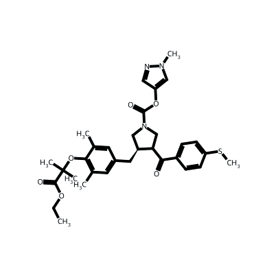 CCOC(=O)C(C)(C)Oc1c(C)cc(C[C@H]2CN(C(=O)Oc3cnn(C)c3)CC2C(=O)c2ccc(SC)cc2)cc1C